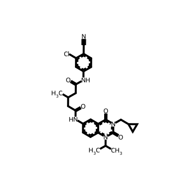 CC(CC(=O)Nc1ccc(C#N)c(Cl)c1)CC(=O)Nc1ccc2c(c1)c(=O)n(CC1CC1)c(=O)n2C(C)C